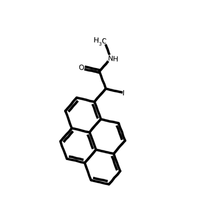 CNC(=O)C(I)c1ccc2ccc3cccc4ccc1c2c34